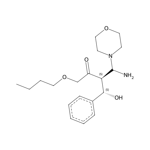 CCCCOCC(=O)[C@@H](C(N)N1CCOCC1)[C@H](O)c1ccccc1